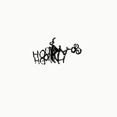 CCCSc1nc(NC2CC2c2ccc(OC)c(OC)c2)c2nnn([C@H]3C[C@@H](O)[C@H](O)[C@@H]3O)c2n1